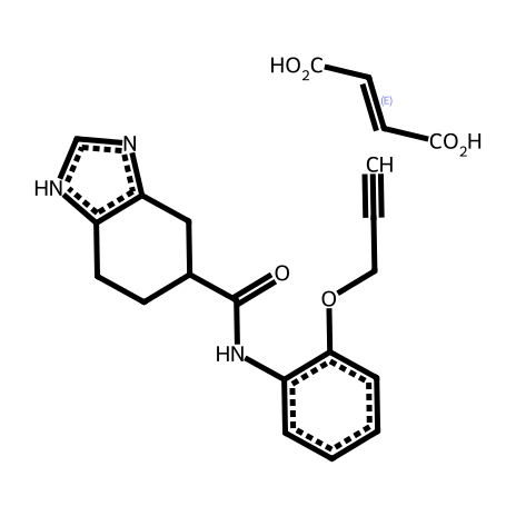 C#CCOc1ccccc1NC(=O)C1CCc2[nH]cnc2C1.O=C(O)/C=C/C(=O)O